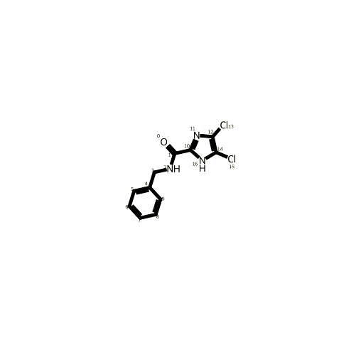 O=C(NCc1ccccc1)c1nc(Cl)c(Cl)[nH]1